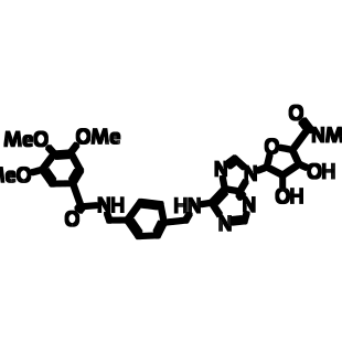 CNC(=O)C1OC(n2cnc3c(NCc4ccc(CNC(=O)c5cc(OC)c(OC)c(OC)c5)cc4)ncnc32)C(O)C1O